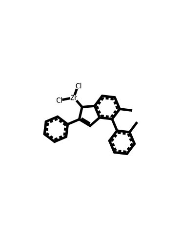 Cc1ccccc1-c1c(C)ccc2c1C=C(c1ccccc1)[CH]2[Zr]([Cl])[Cl]